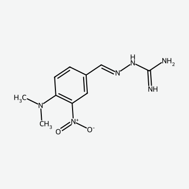 CN(C)c1ccc(C=NNC(=N)N)cc1[N+](=O)[O-]